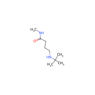 CNC(=O)CCCNC(C)(C)C